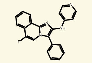 Fc1cn2c(-c3ccccc3)c(Nc3ccncc3)nc2c2ccccc12